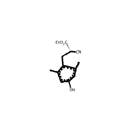 CCOC(=O)[C@H](C#N)Cc1c(C)cc(O)cc1C